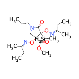 CCCN1CC(ON=C(C)CC)(C(=O)OC)C(ON=C(C)CC)([SiH2]C)C1=O